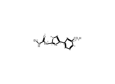 CCNC(=O)Nc1nc(-c2cccc(C(=O)O)c2)cs1